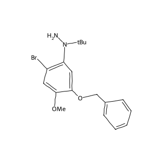 COc1cc(Br)c(N(N)C(C)(C)C)cc1OCc1ccccc1